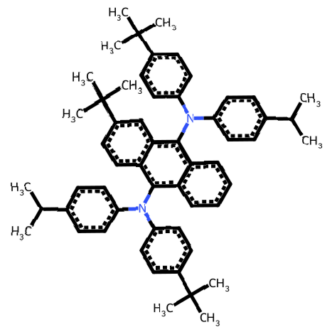 CC(C)c1ccc(N(c2ccc(C(C)(C)C)cc2)c2c3ccccc3c(N(c3ccc(C(C)C)cc3)c3ccc(C(C)(C)C)cc3)c3cc(C(C)(C)C)ccc23)cc1